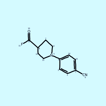 N#Cc1ccc(N2CCC(C(=O)F)CC2)cc1